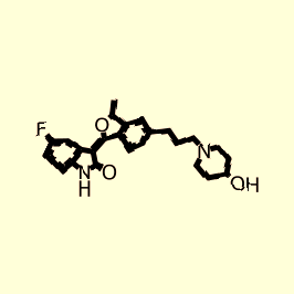 CC1O/C(=C2/C(=O)Nc3ccc(F)cc32)c2ccc(CCCN3CCC(O)CC3)cc21